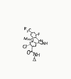 COc1cc(C(F)(F)F)cc(F)c1-c1n[nH]cc1-c1ccc(Cl)c(C(=O)NC2CC2)c1